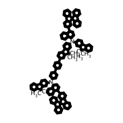 CC1(C)c2ccccc2-c2ccc(N(c3ccc(-c4ccc(-c5ccc6c(c5)C(C)(C)c5cc(N(c7ccc8c(c7)C(C)(C)c7ccccc7-8)c7ccc(-c8ccc9c(c8)C8(c%10ccccc%10-c%10ccccc%108)c8ccccc8-9)c8ccccc78)ccc5-6)cc4)cc3)c3ccc(-c4ccc5c(c4)C4(c6ccccc6-c6ccccc64)c4ccccc4-5)c4ccccc34)cc21